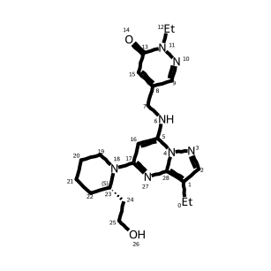 CCc1cnn2c(NCc3cnn(CC)c(=O)c3)cc(N3CCCC[C@H]3CCO)nc12